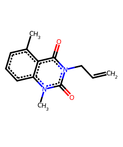 C=CCn1c(=O)c2c(C)cccc2n(C)c1=O